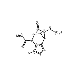 COC(=O)C1c2c(cnn2C)C2CN1C(=O)N2OS(=O)(=O)O